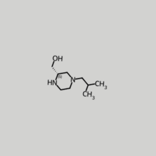 CC(C)CN1CCN[C@H](CO)C1